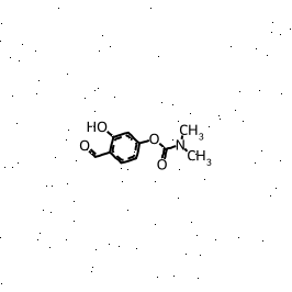 CN(C)C(=O)Oc1ccc(C=O)c(O)c1